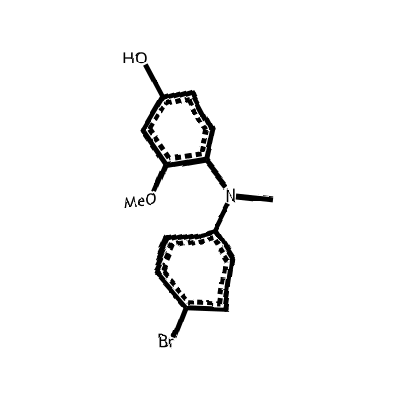 COc1cc(O)ccc1N(C)c1ccc(Br)cc1